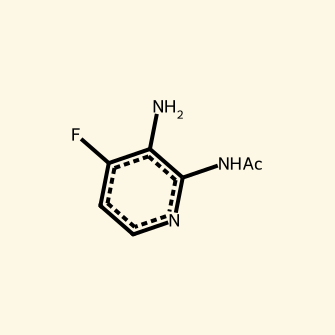 CC(=O)Nc1nccc(F)c1N